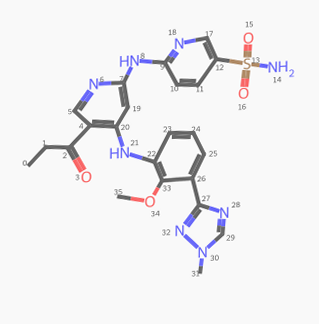 CCC(=O)c1cnc(Nc2ccc(S(N)(=O)=O)cn2)cc1Nc1cccc(-c2ncn(C)n2)c1OC